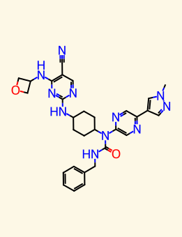 Cn1cc(-c2cnc(N(C(=O)NCc3ccccc3)C3CCC(Nc4ncc(C#N)c(NC5COC5)n4)CC3)cn2)cn1